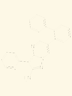 Nc1nn2cc(-c3ccccc3-c3ccccc3)cnc2c1-c1ccccn1